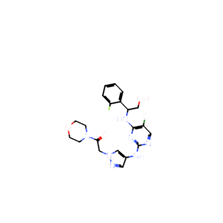 O=C(Cn1cc(Nc2ncc(Cl)c(NC(CO)c3ccccc3F)n2)cn1)N1CCOCC1